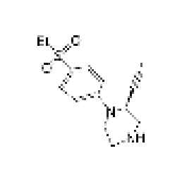 CC#C[C@H]1CNCCN1c1ccc(S(=O)(=O)CC)cc1